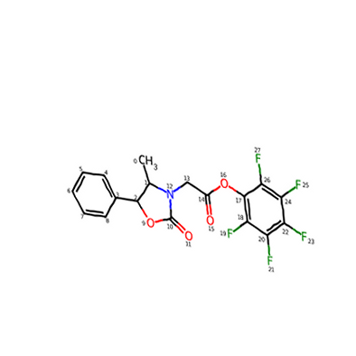 CC1C(c2ccccc2)OC(=O)N1CC(=O)Oc1c(F)c(F)c(F)c(F)c1F